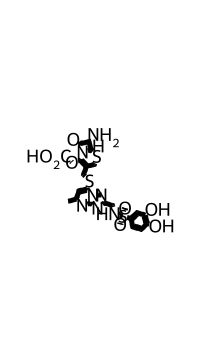 Cc1cc(SCC2=C(OC(=O)O)N3C(=O)[C@@H](N)[C@H]3SC2)n2nc(CNS(=O)(=O)c3ccc(O)c(O)c3)nc2n1